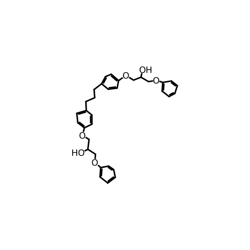 OC(COc1ccccc1)COc1ccc(CCCc2ccc(OCC(O)COc3ccccc3)cc2)cc1